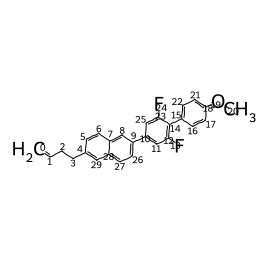 C=CCCc1ccc2cc(-c3cc(F)c(-c4ccc(OC)cc4)c(F)c3)ccc2c1